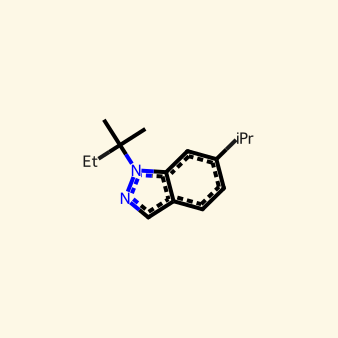 CCC(C)(C)n1ncc2ccc(C(C)C)cc21